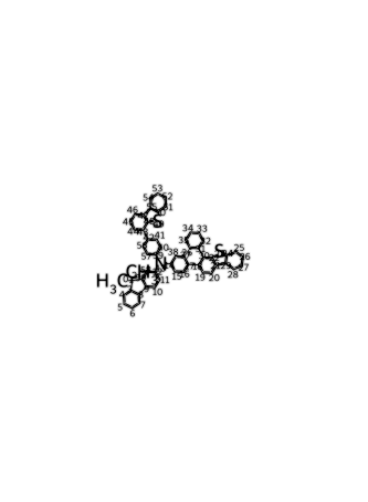 CC1(C)c2ccccc2-c2ccc(N(c3ccc(-c4ccc5c(sc6ccccc65)c4-c4ccccc4)cc3)c3ccc(-c4cccc5c4sc4ccccc45)cc3)cc21